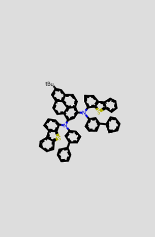 CC(C)(C)c1cc2ccc3c(N(c4cccc(-c5ccccc5)c4)c4cccc5c4sc4ccccc45)cc(N(c4cccc(-c5ccccc5)c4)c4cccc5c4sc4ccccc45)c4ccc(c1)c2c34